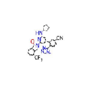 Cn1cnnc1-c1ccc(C#N)cc1-c1cc(NC2CCCC2)nc(N2Cc3c(cccc3C(F)(F)F)C2=O)c1